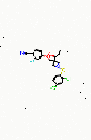 CCC(=O)C1(COc2ccc(C#N)c(F)c2)CN(Sc2ccc(Cl)cc2Cl)C1